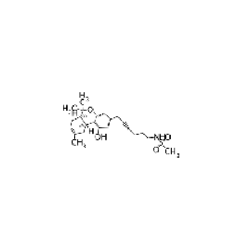 CC1=CC[C@@H]2[C@@H](C1)c1c(O)cc(CC#CCCCNS(C)(=O)=O)cc1OC2(C)C